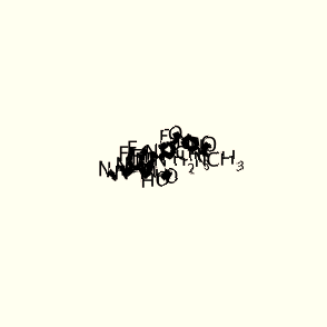 Cc1cc(Nc2nccn3c(-c4cn(CC#N)nc4C(F)(F)F)cnc23)cc(F)c1C(=O)N1CCN(C(=O)[C@H](C)N)CC1.O=CO